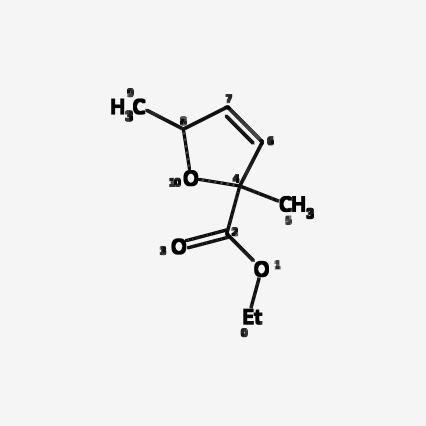 CCOC(=O)C1(C)C=CC(C)O1